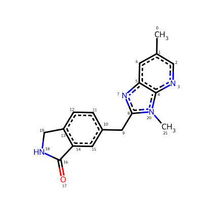 Cc1cnc2c(c1)nc(Cc1ccc3c(c1)C(=O)NC3)n2C